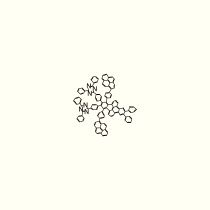 c1ccc(-c2nc(-c3ccccc3)nc(-c3ccc(-c4c(-c5ccc(-c6nc(-c7ccccc7)nc(-c7ccccc7)n6)cc5)c(-c5ccc(-c6ccc7ccc8cccc9ccc6c7c89)cc5)c5c6cccc7c8cc(-c9ccccc9)c(-c9ccccc9)cc8c8cccc(c5c4-c4ccc(-c5ccc9ccc%10cccc%11ccc5c9c%10%11)cc4)c8c76)cc3)n2)cc1